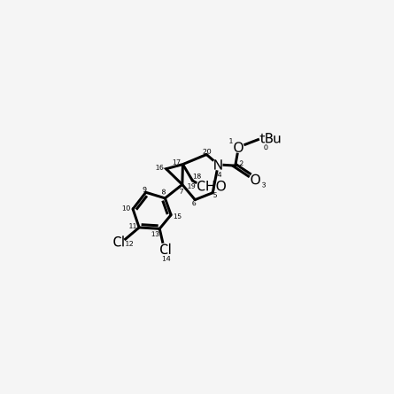 CC(C)(C)OC(=O)N1CCC2(c3ccc(Cl)c(Cl)c3)CC2(CC=O)C1